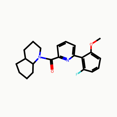 COc1cccc(F)c1-c1cccc(C(=O)N2CCCC3CCCCC32)n1